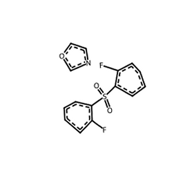 O=S(=O)(c1ccccc1F)c1ccccc1F.c1cocn1